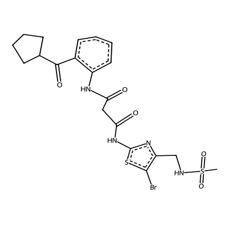 CS(=O)(=O)NCc1nc(NC(=O)CC(=O)Nc2ccccc2C(=O)C2CCCC2)sc1Br